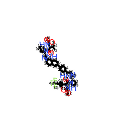 COC(=O)N[C@H](C(=O)N1C[Si](C)(C)C[C@H]1c1nc2ccc3cc(-c4ccc(-c5cnc([C@@H]6CCCN6C(=O)[C@@H](NC(=O)OC)C67CC(C(F)(F)F)(C6)C7)[nH]5)cc4)ccc3c2[nH]1)C(C)C